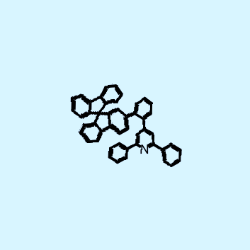 c1ccc(-c2cc(-c3ccccc3-c3ccc4c(c3)C3(c5ccccc5-c5ccccc53)c3ccccc3-4)cc(-c3ccccc3)n2)cc1